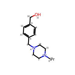 CC(C)N1CCN(Cc2ccc(CO)cc2)CC1